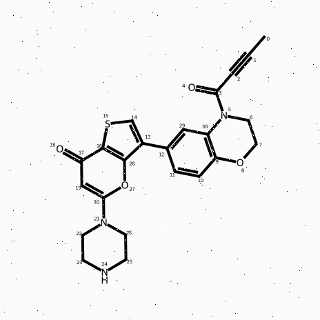 CC#CC(=O)N1CCOc2ccc(-c3csc4c(=O)cc(N5CCNCC5)oc34)cc21